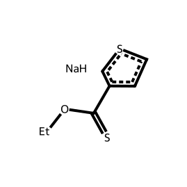 CCOC(=S)c1ccsc1.[NaH]